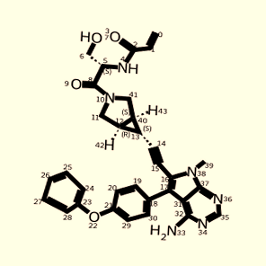 C=CC(=O)N[C@@H](CO)C(=O)N1C[C@@H]2[C@@H](C#Cc3c(-c4ccc(Oc5ccccc5)cc4)c4c(N)ncnc4n3C)[C@@H]2C1